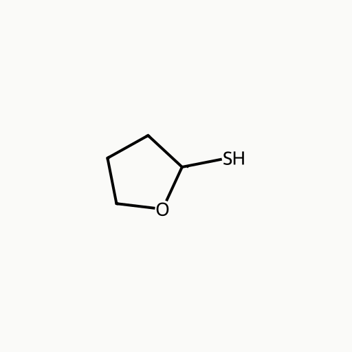 S[C]1CCCO1